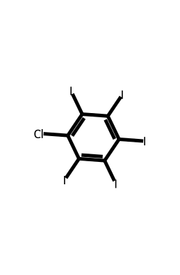 Clc1c(I)c(I)c(I)c(I)c1I